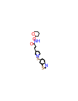 O=C(/C=C/c1ccn(Sc2ccc3ncsc3c2)c1)NOC1CCCCO1